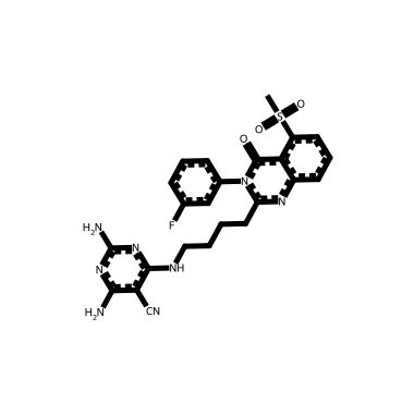 CS(=O)(=O)c1cccc2nc(CCCCNc3nc(N)nc(N)c3C#N)n(-c3cccc(F)c3)c(=O)c12